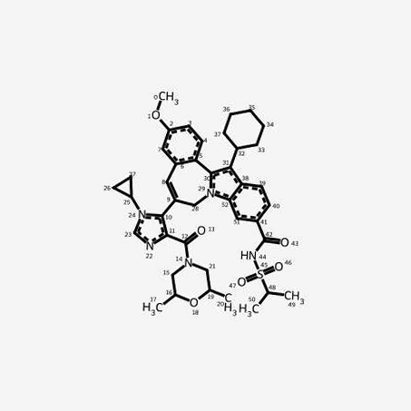 COc1ccc2c(c1)C=C(c1c(C(=O)N3CC(C)OC(C)C3)ncn1C1CC1)Cn1c-2c(C2CCCCC2)c2ccc(C(=O)NS(=O)(=O)C(C)C)cc21